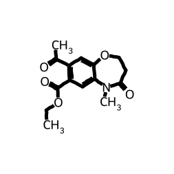 CCOC(=O)c1cc2c(cc1C(C)=O)OCCC(=O)N2C